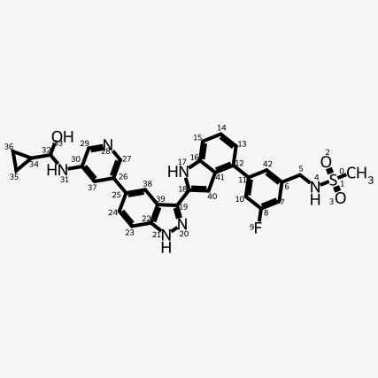 CS(=O)(=O)NCc1cc(F)cc(-c2cccc3[nH]c(-c4n[nH]c5ccc(-c6cncc(NC(O)C7CC7)c6)cc45)cc23)c1